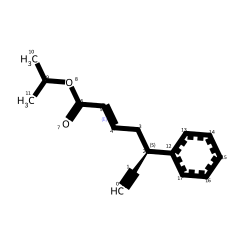 C#C[C@@H](C/C=C/C(=O)OC(C)C)c1ccccc1